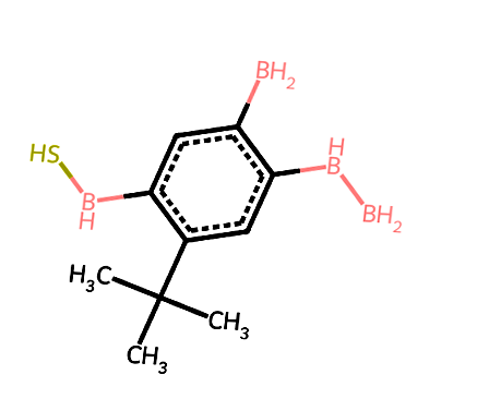 BBc1cc(C(C)(C)C)c(BS)cc1B